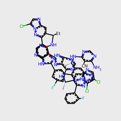 CC[C@@H](Nc1ncnc2[nH]c(-c3cc(F)cc(-c4nn5c(Cl)cnc5cc4[C@H](C)Nc4ncnc(N)c4C#N)c3)nc12)c1cc2ncc(Cl)n2nc1-c1cccc(-c2nc3c(N[C@@H](C)c4cc5ncc(Cl)n5nc4-c4ccccc4F)ncnc3[nH]2)c1